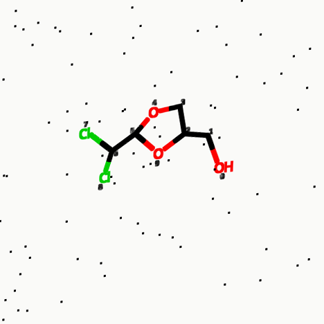 OCC1COC(C(Cl)Cl)O1